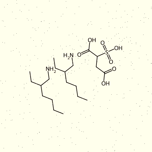 CCCCC(CC)CN.CCCCC(CC)CN.O=C(O)CC(C(=O)O)S(=O)(=O)O